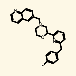 Fc1ccc(Cc2cccc(C3CN(Cc4ccc5ncccc5c4)CCO3)n2)cc1